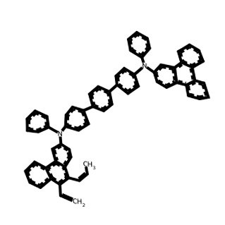 C=Cc1c(/C=C\C)c2ccc(N(c3ccccc3)c3ccc(-c4ccc(-c5ccc(N(c6ccccc6)c6ccc7c8ccccc8c8ccccc8c7c6)cc5)cc4)cc3)cc2c2ccccc12